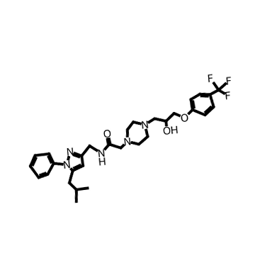 CC(C)Cc1cc(CNC(=O)CN2CCN(CC(O)COc3ccc(C(F)(F)F)cc3)CC2)nn1-c1ccccc1